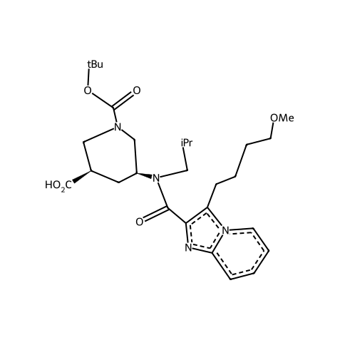 COCCCCc1c(C(=O)N(CC(C)C)[C@H]2C[C@@H](C(=O)O)CN(C(=O)OC(C)(C)C)C2)nc2ccccn12